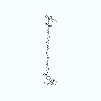 C=C1C=CC(=O)N1CCC(=O)NCCOCCOCCOCCOCCOCCOCCOCCOCCC(=O)N1CCC(C(C)(C)C)CC1